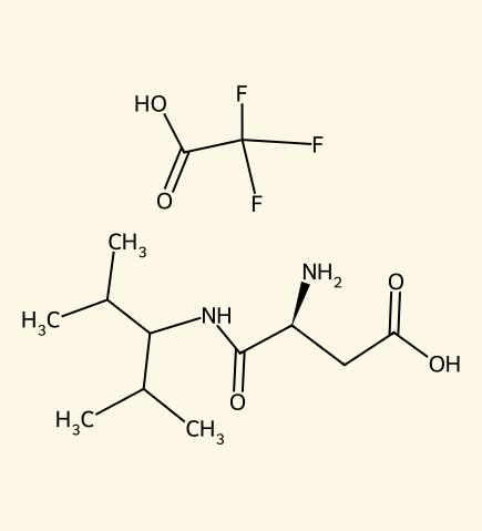 CC(C)C(NC(=O)[C@@H](N)CC(=O)O)C(C)C.O=C(O)C(F)(F)F